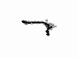 Cc1ccc(S(=O)(=O)OCCOCCOCCOCCOCCOCCOCC(=O)N[C@H](C(=O)N2C[C@H](O)C[C@H]2C(=O)NCc2ccc(-c3scnc3C)cc2)C(C)(C)C)cc1